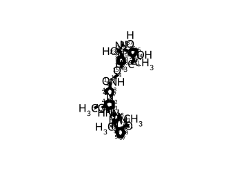 CCOc1cc(N2CCC(C(=O)NCCOCc3ccc(-n4c(O)nnc4-c4cc(C(C)C)c(O)cc4O)cc3)CC2)ccc1Nc1ncc2c(n1)N(C)c1ccccc1C(=O)N2C